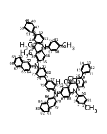 Cc1ccc(N2c3ccc(-c4ccccc4)cc3C(C)(C)c3cc(N(c4ccc(-c5ccc(N(c6ccc7c(c6)C(C)(C)c6cc(-c8ccccc8)ccc6N7c6ccc(C)cc6)c6ccc7ccccc7c6)cc5)cc4)c4ccc5ccccc5c4)ccc32)cc1